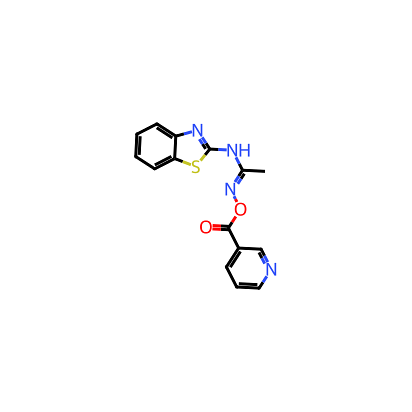 CC(=NOC(=O)c1cccnc1)Nc1nc2ccccc2s1